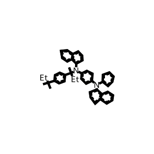 CCC(C)(C)c1ccc(C(C)(CC)N(c2ccc(N(c3ccccc3)c3cccc4ccccc34)cc2)c2cccc3ccccc23)cc1